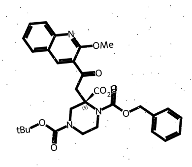 COc1nc2ccccc2cc1C(=O)C[C@@]1(C(=O)O)CN(C(=O)OC(C)(C)C)CCN1C(=O)OCc1ccccc1